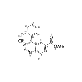 COC(=O)c1cc(C)c2ncc(Cl)c(-c3ccccc3F)c2c1